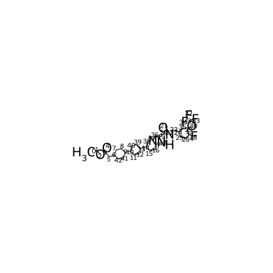 CCOC(=O)CC1CCC(c2ccc(-c3ccc4nc(C(=O)NCc5ccc(F)c(OC(F)(F)F)c5)cn4c3)cc2)CC1